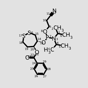 CC(C)N(C(C)C)P(OCCC#N)O[C@H]1CSSCC[C@@H]1OC(=O)c1ccccc1